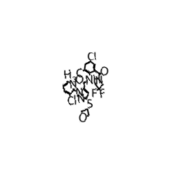 Cc1cc(Cl)cc(C(=O)N2CC(F)(F)C2)c1NC(=O)c1cc(SC2COC2)nn1-c1ncccc1Cl